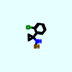 SNC1(c2ccccc2Cl)CC1